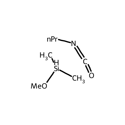 CCCN=C=O.CO[SiH](C)C